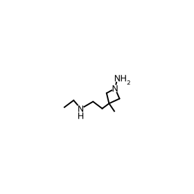 CCNCCC1(C)CN(N)C1